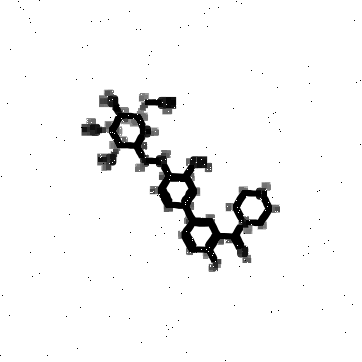 Cc1cc(-c2ccc(F)c(C(=O)N3CCOCC3)c2)ccc1OSC1O[C@@H](CO)[C@H](O)[C@@H](O)[C@H]1O